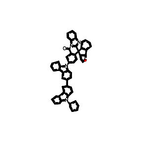 O=C1c2cc(-n3c4ccccc4c4cc(-c5ccc6c(c5)c5ccccc5n6-c5ccccc5)ccc43)ccc2C2(c3ccccc3-c3ccccc32)c2nc3ccccc3n21